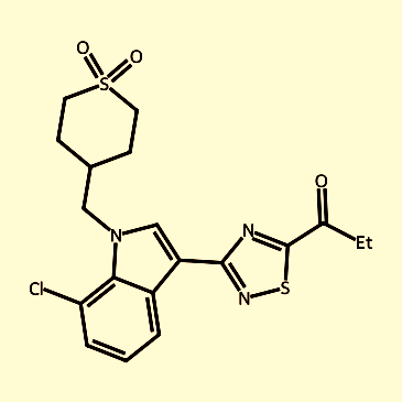 CCC(=O)c1nc(-c2cn(CC3CCS(=O)(=O)CC3)c3c(Cl)cccc23)ns1